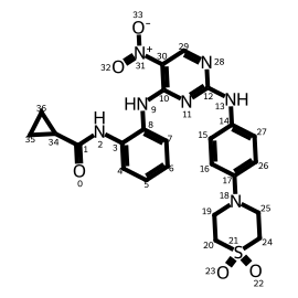 O=C(Nc1ccccc1Nc1nc(Nc2ccc(N3CCS(=O)(=O)CC3)cc2)ncc1[N+](=O)[O-])C1CC1